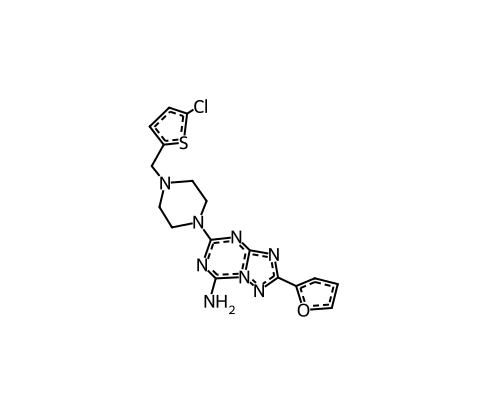 Nc1nc(N2CCN(Cc3ccc(Cl)s3)CC2)nc2nc(-c3ccco3)nn12